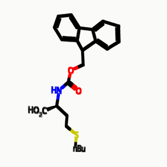 CCCCSCC[C@H](NC(=O)OCC1c2ccccc2-c2ccccc21)C(=O)O